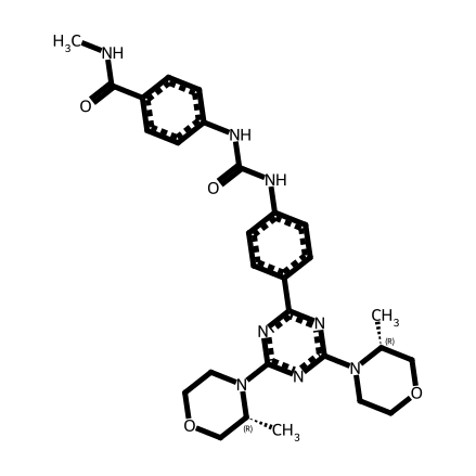 CNC(=O)c1ccc(NC(=O)Nc2ccc(-c3nc(N4CCOC[C@H]4C)nc(N4CCOC[C@H]4C)n3)cc2)cc1